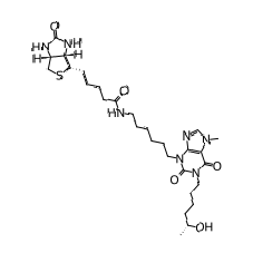 C[C@@H](O)CCCCn1c(=O)c2c(ncn2C)n(CCCCCCNC(=O)CCCC[C@@H]2SC[C@@H]3NC(=O)N[C@@H]32)c1=O